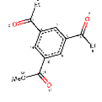 CCC(=O)c1cc(C(=O)CC)cc(C(=O)OC)c1